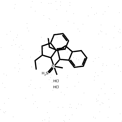 CCC1CC2CC=CC=C2[CH]1[Zr]([CH3])([CH3])(=[SiH2])[CH]1C2=CC=CCC2CC1CC.Cl.Cl